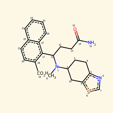 CN(C1CCc2ncsc2C1)C(CCC(N)=O)c1c(C(=O)O)ccc2ccccc12